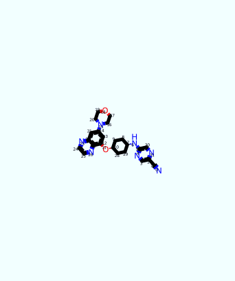 N#Cc1cnc(N[C@H]2CC[C@@H](Oc3cc(N4CCOCC4)cc4nccnc34)CC2)cn1